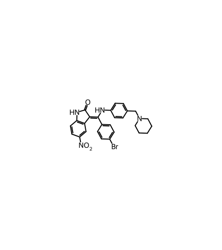 O=C1Nc2ccc([N+](=O)[O-])cc2C1=C(Nc1ccc(CN2CCCCC2)cc1)c1ccc(Br)cc1